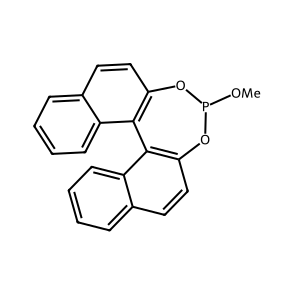 COp1oc2ccc3ccccc3c2c2c(ccc3ccccc32)o1